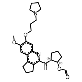 COc1cc2c3c(c(N[C@H]4CCC[C@H]4OC=O)nc2cc1OCCCN1CCCC1)CCC3